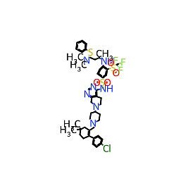 CC(CC(Sc1ccccc1)N(C)C)Nc1ccc(S(=O)(=O)Nc2ncnc3c2CCN(C2CCN(CC4=C(c5ccc(Cl)cc5)CCC(C)(C)C4)CC2)C3)cc1S(=O)(=O)C(F)(F)F